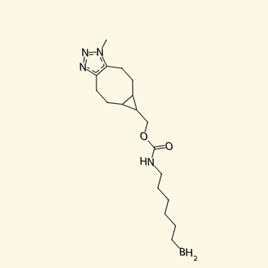 BCCCCCCNC(=O)OCC1C2CCc3nnn(C)c3CCC21